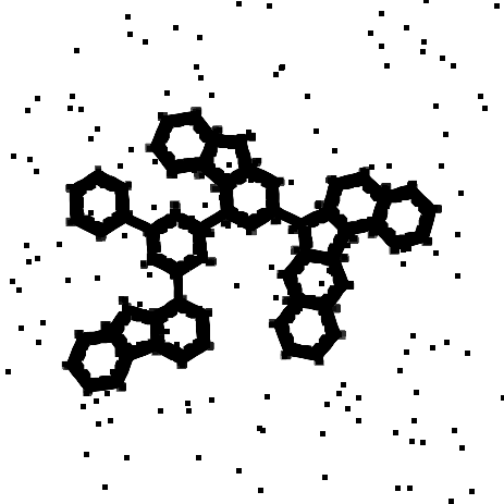 c1ccc(-c2nc(-c3cccc4c3sc3ccccc34)nc(-c3cc(-n4c5cc6ccccc6cc5c5c6ccccc6ccc54)cc4oc5ccccc5c34)n2)cc1